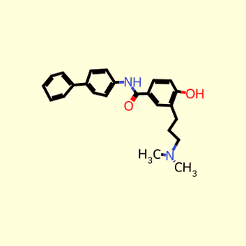 CN(C)CCCc1cc(C(=O)Nc2ccc(-c3ccccc3)cc2)ccc1O